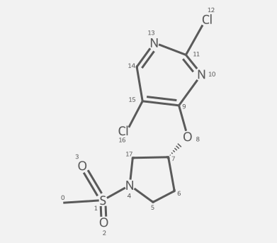 CS(=O)(=O)N1CC[C@@H](Oc2nc(Cl)ncc2Cl)C1